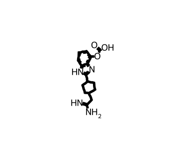 N=C(N)CC1CCC(c2nc3c(OC(=O)O)cccc3[nH]2)CC1